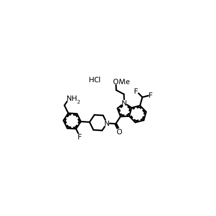 COCCn1cc(C(=O)N2CCC(c3cc(CN)ccc3F)CC2)c2cccc(C(F)F)c21.Cl